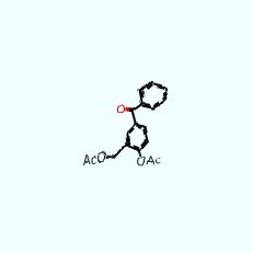 CC(=O)OCc1cc(C(=O)c2ccccc2)ccc1OC(C)=O